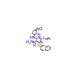 CCCSC1=NC(Oc2ccc3ccccc3c2)=C(NN)C(N[C@H]2CC[C@@H](N=O)C2)N1